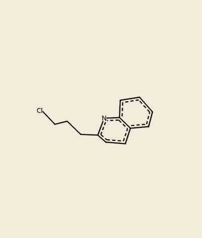 ClCCCc1ccc2ccccc2n1